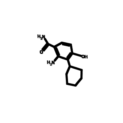 NC(=O)c1ccc(O)c(C2CCCCC2)c1N